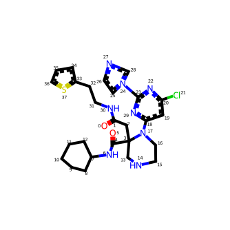 O=C(CC1(C(=O)NC2CCCCC2)CNCCN1c1cc(Cl)nc(-n2ccnc2)n1)NCCc1cccs1